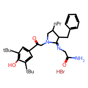 Br.CCCC1CN(CC(=O)c2cc(C(C)(C)C)c(O)c(C(C)(C)C)c2)C(=NCC(N)=O)C1Cc1ccccc1